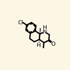 CC1C(=O)CN[C@@]2(C)c3ccc(Cl)cc3CC[C@H]12